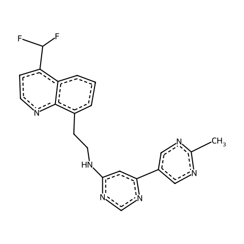 Cc1ncc(-c2cc(NCCc3cccc4c(C(F)F)ccnc34)ncn2)cn1